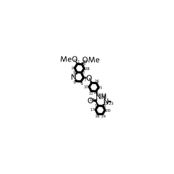 COc1cc2nccc(Oc3ccc(NC(=O)c4ccccc4N(C)C)cc3)c2cc1OC